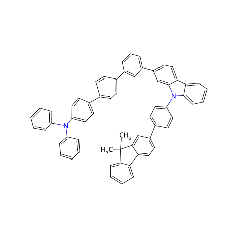 CC1(C)c2ccccc2-c2ccc(-c3ccc(-n4c5ccccc5c5ccc(-c6cccc(-c7ccc(-c8ccc(N(c9ccccc9)c9ccccc9)cc8)cc7)c6)cc54)cc3)cc21